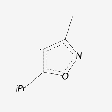 Cc1[c]c(C(C)C)on1